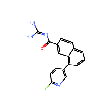 NC(N)=NC(=O)c1ccc2cccc(-c3ccc(F)nc3)c2c1